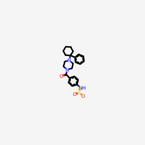 O=C(c1ccc(N[SH](=O)=O)cc1)N1CCN(C2(c3ccccc3)CCCCC2)CC1